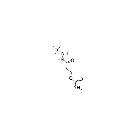 CC(C)(C)NNC(=O)CCOC(N)=O